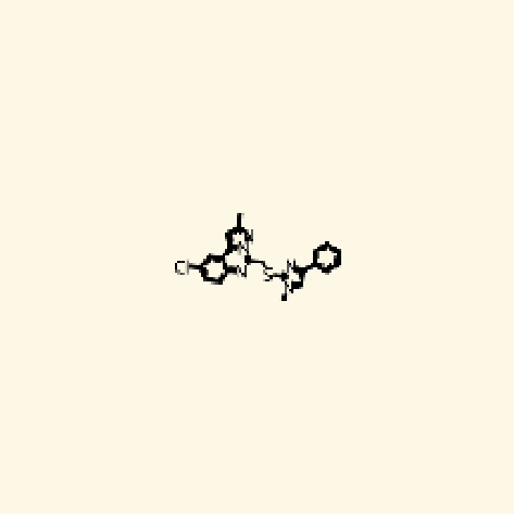 Cc1cc2c3cc(Cl)ccc3nc(CSc3nc(-c4ccccc4)cn3C)n2n1